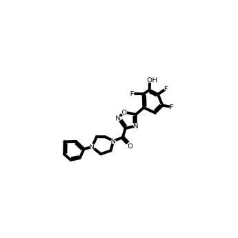 O=C(c1noc(-c2cc(F)c(F)c(O)c2F)n1)N1CCN(c2ccccc2)CC1